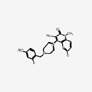 Cn1c(=O)c(C#N)c(N2CCN(Cc3ccc(C#N)cc3F)CC2)c2nc(Cl)ccc21